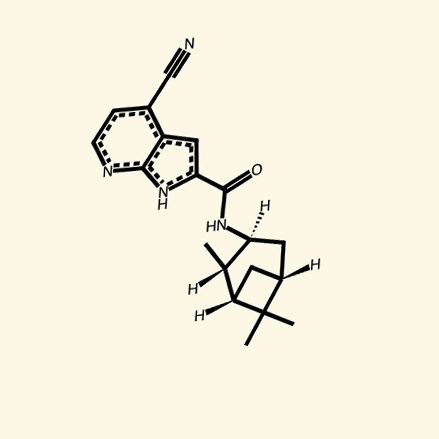 C[C@@H]1[C@@H](NC(=O)c2cc3c(C#N)ccnc3[nH]2)C[C@H]2C[C@@H]1C2(C)C